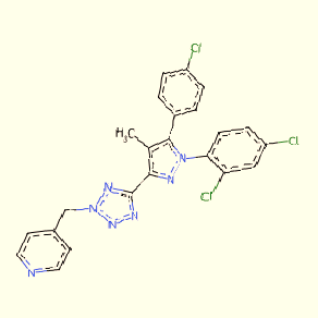 Cc1c(-c2nnn(Cc3ccncc3)n2)nn(-c2ccc(Cl)cc2Cl)c1-c1ccc(Cl)cc1